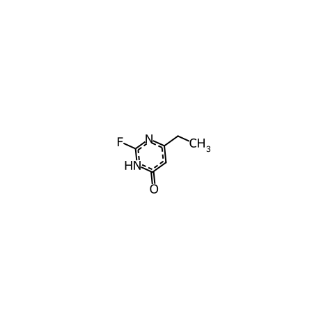 CCc1cc(=O)[nH]c(F)n1